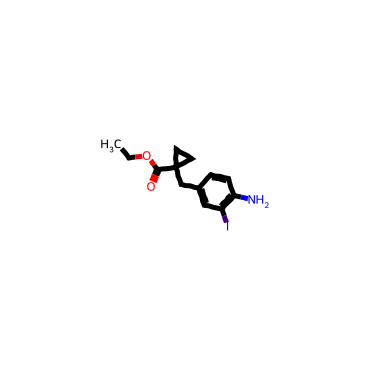 CCOC(=O)C1(Cc2ccc(N)c(I)c2)CC1